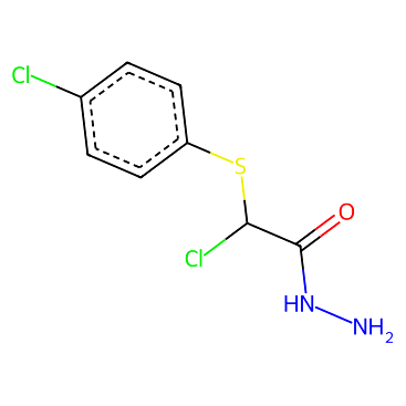 NNC(=O)C(Cl)Sc1ccc(Cl)cc1